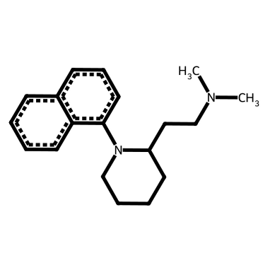 CN(C)CCC1CCCCN1c1cccc2ccccc12